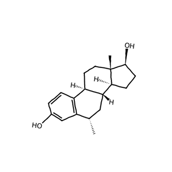 C[C@H]1C[C@@H]2[C@H](CC[C@]3(C)[C@@H](O)CC[C@@H]23)c2ccc(O)cc21